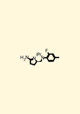 Cc1ccc(N(C[C@H]2CCC(N)=N2)C(C)C)c(F)c1